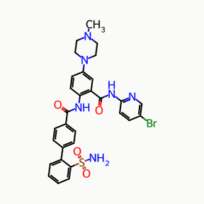 CN1CCN(c2ccc(NC(=O)c3ccc(-c4ccccc4S(N)(=O)=O)cc3)c(C(=O)Nc3ccc(Br)cn3)c2)CC1